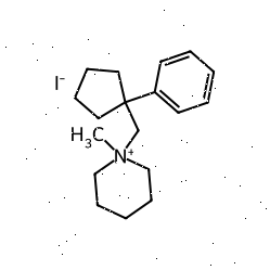 C[N+]1(CC2(c3ccccc3)CCCC2)CCCCC1.[I-]